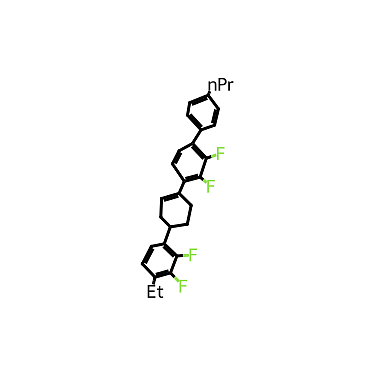 CCCc1ccc(-c2ccc(C3=CCC(c4ccc(CC)c(F)c4F)CC3)c(F)c2F)cc1